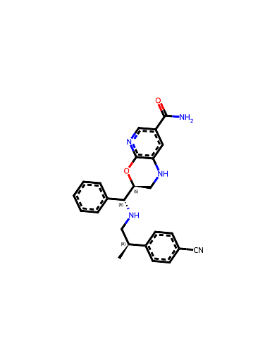 C[C@@H](CN[C@H](c1ccccc1)[C@@H]1CNc2cc(C(N)=O)cnc2O1)c1ccc(C#N)cc1